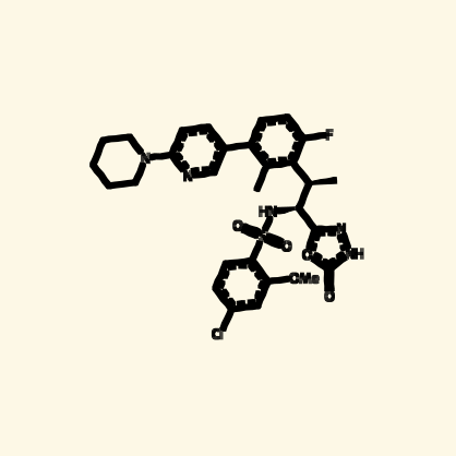 COc1cc(Cl)ccc1S(=O)(=O)N[C@H](c1n[nH]c(=O)o1)[C@H](C)c1c(F)ccc(-c2ccc(N3CCCCC3)nc2)c1C